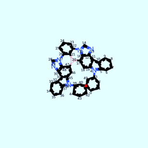 c1ccc(-n2c3ccccc3c3c4ncn5c4c(cc32)B2c3c-5cccc3-n3cnc4c5c6ccccc6n(-c6ccccc6)c5cc2c43)cc1